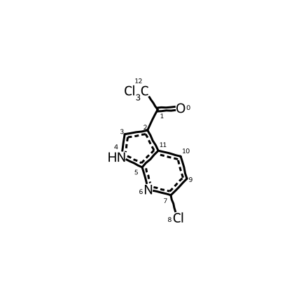 O=C(c1c[nH]c2nc(Cl)ccc12)C(Cl)(Cl)Cl